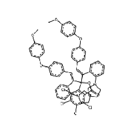 COc1ccc(Oc2ccc(C=C(c3ccccc3N3CCCC3)C3(C(=Cc4ccc(Oc5ccc(OC)cc5)cc4)c4ccccc4N4CCCC4)OC(=O)c4c(Cl)c(Cl)c(Cl)c(Cl)c43)cc2)cc1